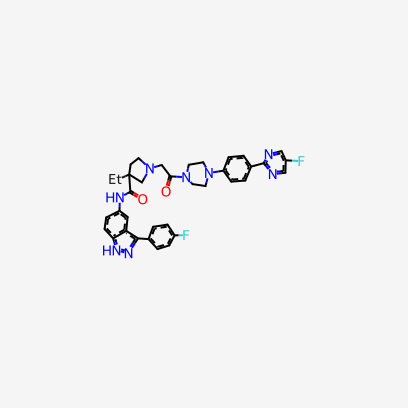 CCC1(C(=O)Nc2ccc3[nH]nc(-c4ccc(F)cc4)c3c2)CCN(CC(=O)N2CCN(c3ccc(-c4ncc(F)cn4)cc3)CC2)C1